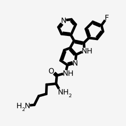 NCCCCC(N)C(=O)Nc1ccc2c(-c3ccncc3)c(-c3ccc(F)cc3)[nH]c2n1